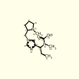 CCC(c1cn(CC2CCCN2C)cn1)N(C)C(=O)O